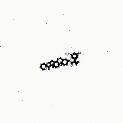 CC1C2C(CC3C4CCC5CC(OC(=O)C6(c7cc(N)cc(N)c7)CC6)CCC5(C)C4CCC32C)OC12CCCCO2